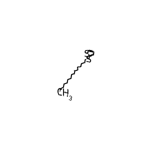 CCCCCCCCCCCCCCCCSc1cccs1